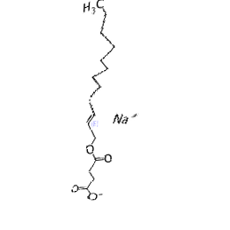 CCCCCCCCC/C=C/COC(=O)CCC(=O)[O-].[Na+]